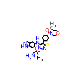 C[C@H](CN)Oc1cc2[nH]ncc2cc1Nc1ncnc2sc3c(c12)CC[C@H](C(=O)N1CCOC[C@H]1C)C3